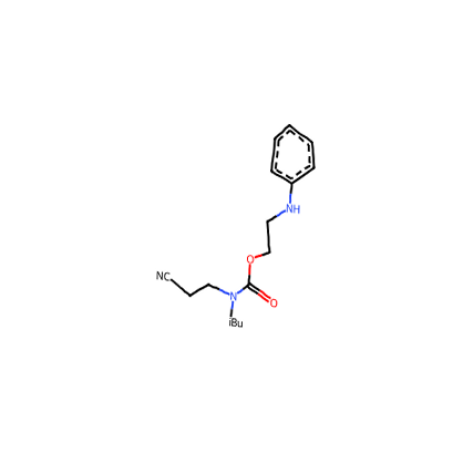 CCC(C)N(CCC#N)C(=O)OCCNc1ccccc1